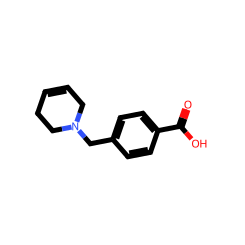 O=C(O)c1ccc(CN2CC=CCC2)cc1